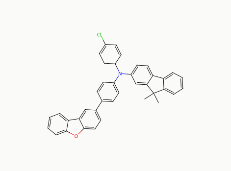 CC1(C)c2ccccc2-c2ccc(N(c3ccc(-c4ccc5oc6ccccc6c5c4)cc3)C3C=CC(Cl)=CC3)cc21